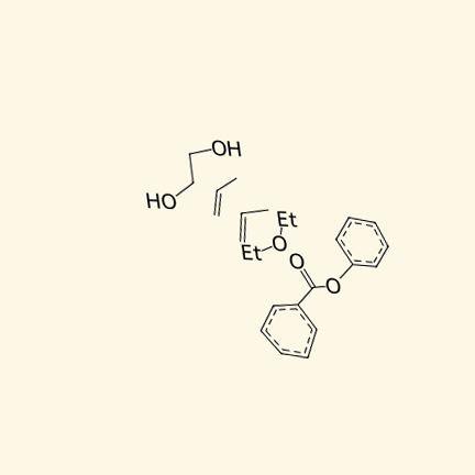 C=CC.C=CC.CCOCC.O=C(Oc1ccccc1)c1ccccc1.OCCO